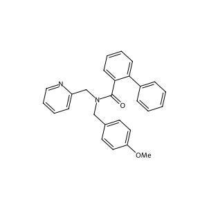 COc1ccc(CN(Cc2ccccn2)C(=O)c2ccccc2-c2ccccc2)cc1